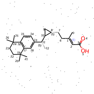 C/C(=C\C(=O)O)CC[C@H]1CC1[C@H](C)c1ccc2c(c1)C(C)(C)CCC2(C)C